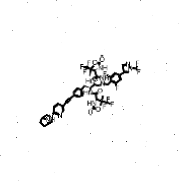 COC(=O)N[C@H](C(=O)N[C@@H](Cc1ccc(C#Cc2ccc(N3CC4CCC(C3)N4)nc2)cc1)[C@@H](O)CN(Cc1c(F)cc(-c2cnn(C(F)F)c2)cc1F)NC(=O)[C@@H](NC(=O)OC)C(C)(C)C(F)(F)F)C(C)(C)C(F)(F)F